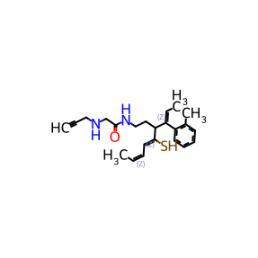 C#CCNCC(=O)NCCC(/C(S)=C/C=C\C)/C(=C/C)c1ccccc1C